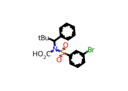 CC(C)(C)C(c1ccccc1)N(C(=O)O)S(=O)(=O)c1cccc(Br)c1